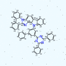 c1ccc(-c2cc(-c3nc(-c4ccccc4)nc(-c4ccccc4)n3)cc(-n3c4ccccc4c4ccc5c(nc6c7ccccc7c7ccccc7n56)c43)c2)cc1